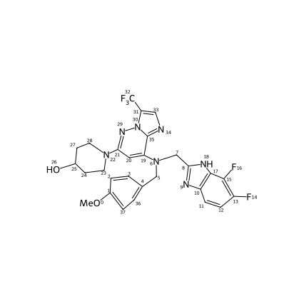 COc1ccc(CN(Cc2nc3ccc(F)c(F)c3[nH]2)c2cc(N3CCC(O)CC3)nn3c(C(F)(F)F)cnc23)cc1